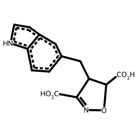 O=C(O)C1=NOC(C(=O)O)C1Cc1ccc2[nH]ccc2c1